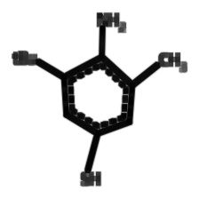 Cc1cc(S)cc(C(C)(C)C)c1N